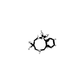 O=S1(=O)OCC(F)(F)COCc2ccccc21